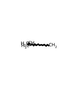 C=CCCCCCCCCCCCC[Si](C)(C)C